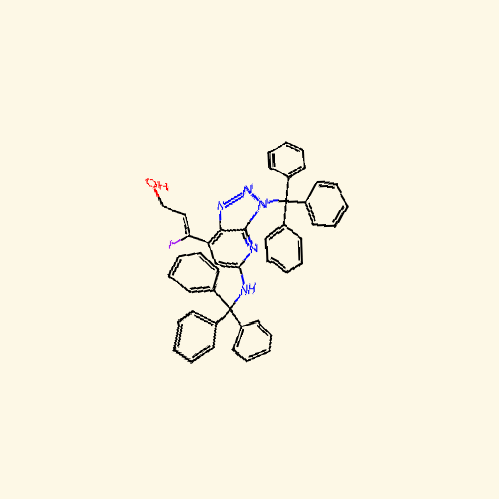 OC/C=C(\I)c1cc(NC(c2ccccc2)(c2ccccc2)c2ccccc2)nc2c1nnn2C(c1ccccc1)(c1ccccc1)c1ccccc1